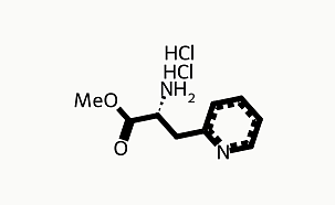 COC(=O)[C@H](N)Cc1ccccn1.Cl.Cl